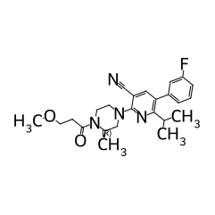 COCCC(=O)N1CCN(c2nc(C(C)C)c(-c3cccc(F)c3)cc2C#N)C[C@H]1C